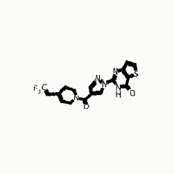 O=C(c1cnn(-c2nc3ccsc3c(=O)[nH]2)c1)N1CCC(CC(F)(F)F)CC1